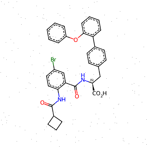 O=C(N[C@@H](Cc1ccc(-c2ccccc2Oc2ccccc2)cc1)C(=O)O)c1cc(Br)ccc1NC(=O)C1CCC1